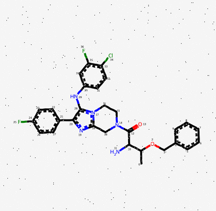 CC(OCc1ccccc1)C(N)C(=O)N1CCn2c(nc(-c3ccc(F)cc3)c2Nc2ccc(Cl)c(F)c2)C1